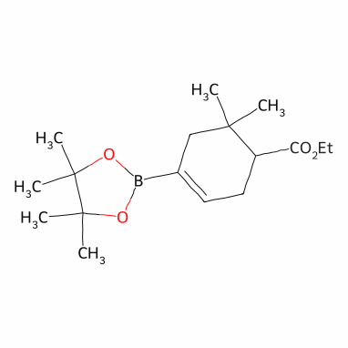 CCOC(=O)C1CC=C(B2OC(C)(C)C(C)(C)O2)CC1(C)C